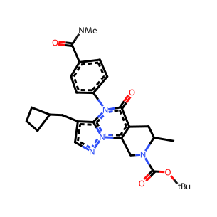 CNC(=O)c1ccc(-n2c(=O)c3c(n4ncc(CC5CCC5)c24)CN(C(=O)OC(C)(C)C)C(C)C3)cc1